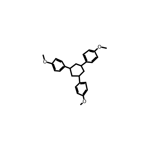 COc1ccc(C2CC(c3ccc(OC)cc3)CC(c3ccc(OC)cc3)C2)cc1